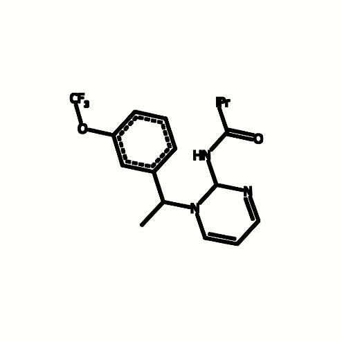 CC(C)C(=O)NC1N=CC=CN1C(C)c1cccc(OC(F)(F)F)c1